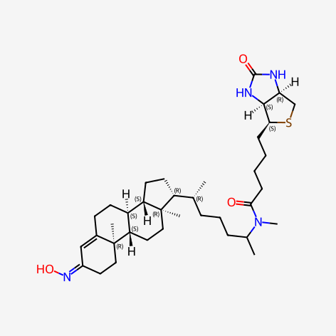 CC(CCC[C@@H](C)[C@H]1CC[C@H]2[C@@H]3CCC4=CC(=NO)CC[C@]4(C)[C@H]3CC[C@]12C)N(C)C(=O)CCCC[C@@H]1SC[C@@H]2NC(=O)N[C@@H]21